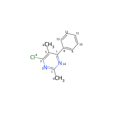 Cc1nc(Cl)c(C)c(-c2ccccc2)n1